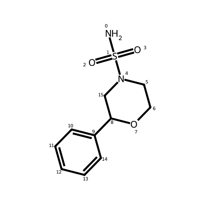 NS(=O)(=O)N1CCOC(c2ccccc2)C1